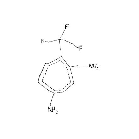 Nc1ccc(C(F)(F)F)c(N)c1